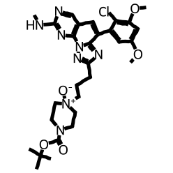 CNc1ncc2cc(-c3cc(OC)cc(OC)c3Cl)c3nc(CCC[N+]4([O-])CCN(C(=O)OC(C)(C)C)CC4)nn3c2n1